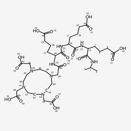 CC(C)NC(=O)C(CCCC(=O)O)NC(=O)C(CCCC(=O)O)NC(=O)C(CCCC(=O)O)NC(=O)CN1CCN(CC(=O)O)CCN(CC(=O)O)CCN(CC(=O)O)CC1